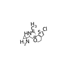 C[C@H]1C[C@@]2(CC(C3(N)CC3)N1)OCCc1cc(Cl)sc12